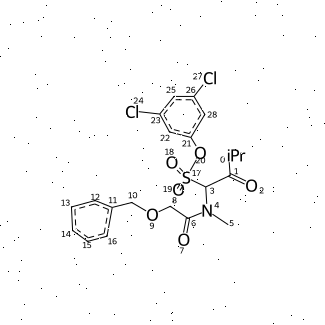 CC(C)C(=O)C(N(C)C(=O)COCc1ccccc1)S(=O)(=O)Oc1cc(Cl)cc(Cl)c1